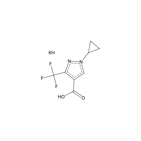 O=C(O)c1cn(C2CC2)nc1C(F)(F)F.[KH]